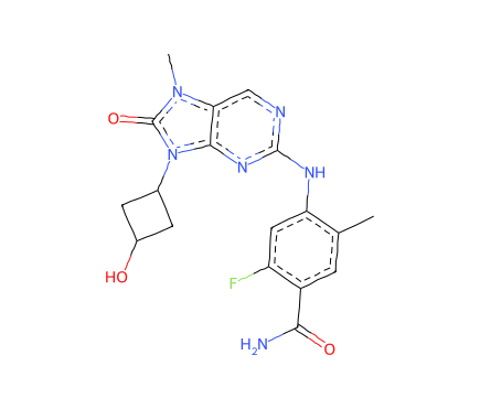 Cc1cc(C(N)=O)c(F)cc1Nc1ncc2c(n1)n(C1CC(O)C1)c(=O)n2C